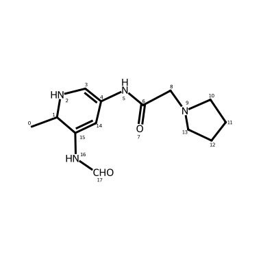 CC1NC=C(NC(=O)CN2CCCC2)C=C1NC=O